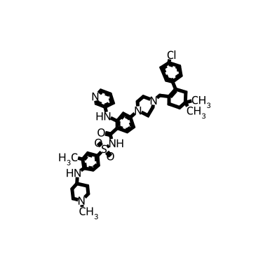 Cc1cc(S(=O)(=O)NC(=O)c2ccc(N3CCN(CC4=C(c5ccc(Cl)cc5)CC(C)(C)CC4)CC3)cc2Nc2cccnc2)ccc1NC1CCN(C)CC1